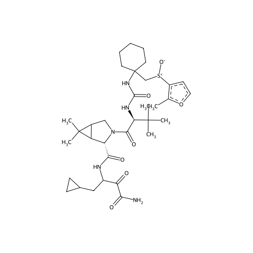 Cc1occc1[S+]([O-])CC1(NC(=O)N[C@H](C(=O)N2CC3C([C@H]2C(=O)NC(CC2CC2)C(=O)C(N)=O)C3(C)C)C(C)(C)C)CCCCC1